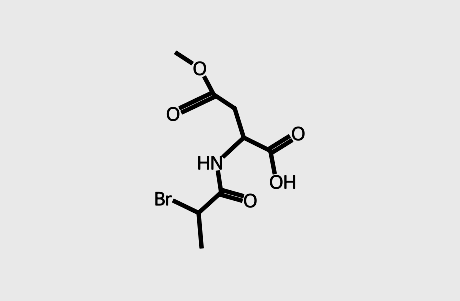 COC(=O)CC(NC(=O)C(C)Br)C(=O)O